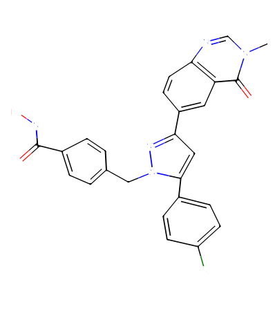 Cn1cnc2ccc(-c3cc(-c4ccc(Br)cc4)n(Cc4ccc(C(=O)NO)cc4)n3)cc2c1=O